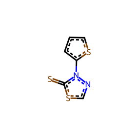 S=c1scnn1-c1cccs1